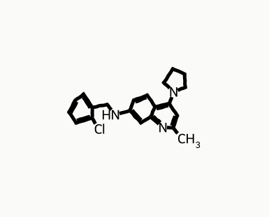 Cc1cc(N2CCCC2)c2ccc(NCc3ccccc3Cl)cc2n1